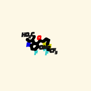 COC1=C(F)CC2=NC(C)=C(CC(=O)O)C2=C1C(=O)c1ccc(SC(F)(F)C(F)(F)F)s1